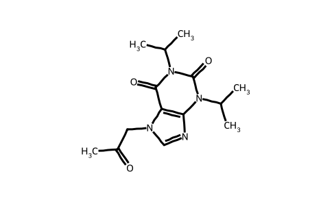 CC(=O)Cn1cnc2c1c(=O)n(C(C)C)c(=O)n2C(C)C